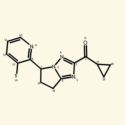 O=C(c1nc2n(n1)C(c1ncccc1F)CC2)C1CC1